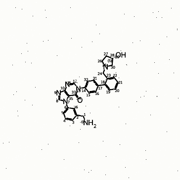 NCc1cccc(-n2cnc3ncn(-c4ccc(-c5ccccc5CN5CC[C@H](O)C5)cc4)c(=O)c32)c1